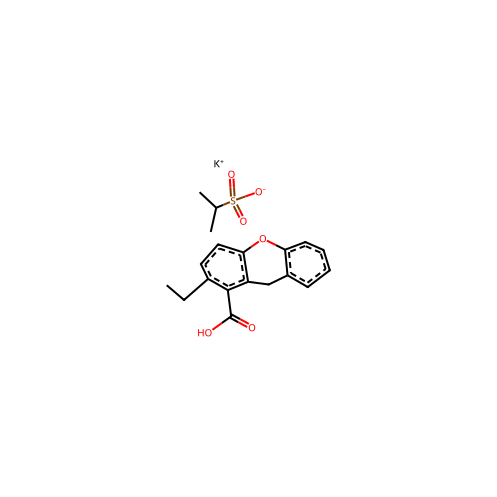 CC(C)S(=O)(=O)[O-].CCc1ccc2c(c1C(=O)O)Cc1ccccc1O2.[K+]